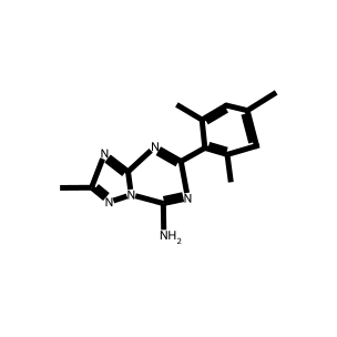 Cc1cc(C)c(-c2nc(N)n3nc(C)nc3n2)c(C)c1